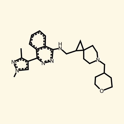 Cc1nn(C)cc1-c1nnc(NCC2CC23CCN(CC2CCOCC2)CC3)c2ccccc12